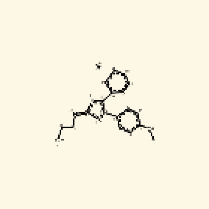 Br.COc1ccc(-n2s/c(=N\CCO)nc2-c2ccccc2)cc1